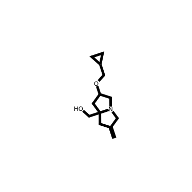 C=C1CN2CC(OCC3CC3)CC2(CO)C1